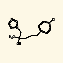 CC(O)(CCCc1ccc(Cl)cc1)Cn1ccnc1